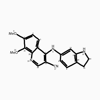 COc1ccc2c(Nc3ccc4c(c3)NCC4)c(C#N)cnc2c1OC